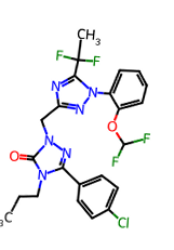 CC(F)(F)c1nc(Cn2nc(-c3ccc(Cl)cc3)n(CCC(F)(F)F)c2=O)nn1-c1ccccc1OC(F)F